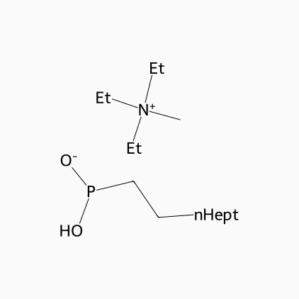 CCCCCCCCCP([O-])O.CC[N+](C)(CC)CC